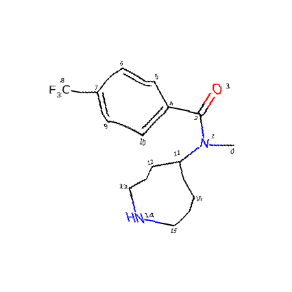 CN(C(=O)c1ccc(C(F)(F)F)cc1)C1CCNCC1